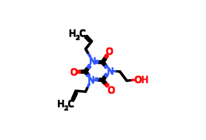 C=CCn1c(=O)n(CC=C)c(=O)n(CCO)c1=O